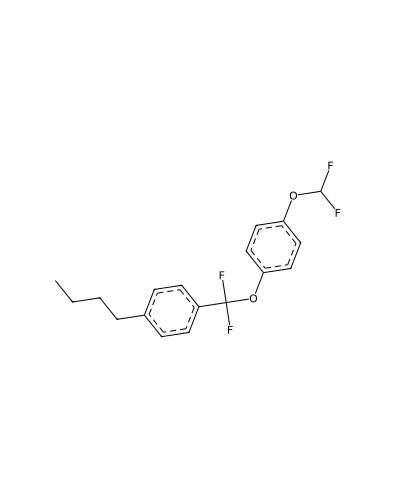 CCCCc1ccc(C(F)(F)Oc2ccc(OC(F)F)cc2)cc1